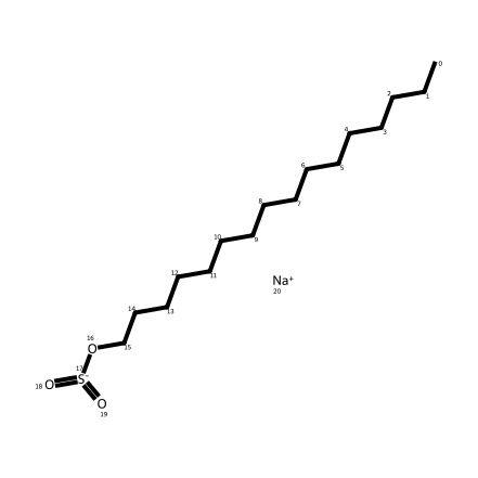 CCCCCCCCCCCCCCCCO[S-](=O)=O.[Na+]